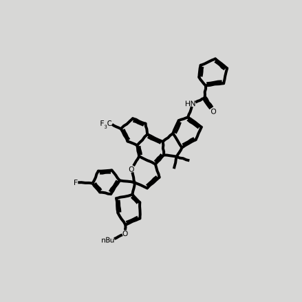 CCCCOc1ccc(C2(c3ccc(F)cc3)C=Cc3c4c(c5ccc(C(F)(F)F)cc5c3O2)-c2cc(NC(=O)c3ccccc3)ccc2C4(C)C)cc1